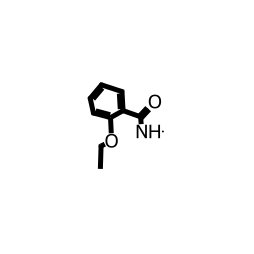 CCOc1ccccc1C([NH])=O